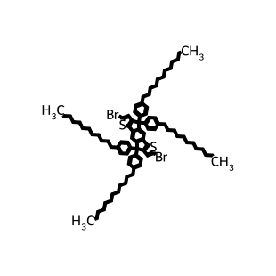 CCCCCCCCCCCCc1ccc(C2(c3ccc(CCCCCCCCCCCC)cc3)c3cc4c(cc3-c3sc(Br)cc32)C(c2ccc(CCCCCCCCCCCC)cc2)(c2ccc(CCCCCCCCCCCC)cc2)c2cc(Br)sc2-4)cc1